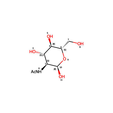 CC(=O)N[C@H]1[C@H](O)[C@@H](O)[C@H](CO)O[C@H]1O